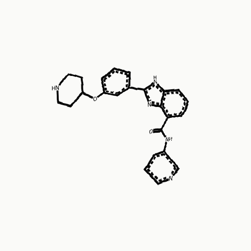 O=C(Nc1cccnc1)c1cccc2[nH]c(-c3cccc(OC4CCNCC4)c3)nc12